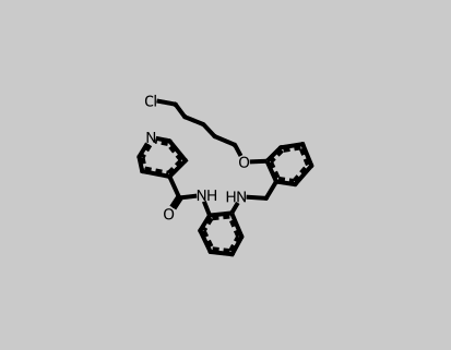 O=C(Nc1ccccc1NCc1ccccc1OCCCCCCl)c1ccncc1